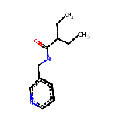 CCC(CC)C(=O)N[CH]c1cccnc1